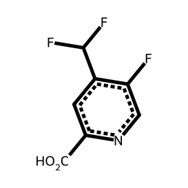 O=C(O)c1cc(C(F)F)c(F)cn1